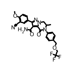 COc1ccc(-c2nn3c(c2C(N)=O)C(=O)N(c2ccc(COCC(F)(F)F)cc2)C(C)C3)cc1C#N